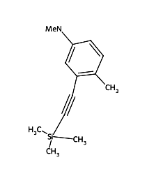 CNc1ccc(C)c(C#C[Si](C)(C)C)c1